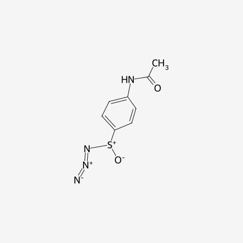 CC(=O)Nc1ccc([S+]([O-])N=[N+]=[N-])cc1